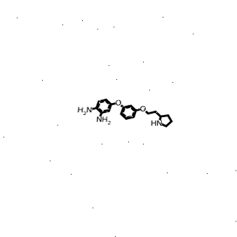 Nc1ccc(Oc2cccc(OCCC3CCCN3)c2)cc1N